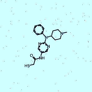 CN1CCC(N(c2ccccc2)c2ncc(NC(=O)CS)cn2)CC1